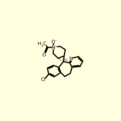 CC(=O)[N+]1([O-])CCC2C(C1)[C@]21c2ccc(Cl)cc2CCc2cccnc21